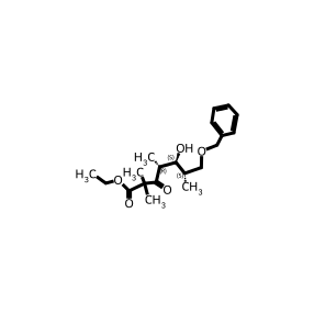 CCOC(=O)C(C)(C)C(=O)[C@H](C)[C@@H](O)[C@@H](C)COCc1ccccc1